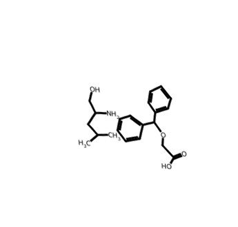 CC(C)CC(N)CO.O=C(O)COC(c1ccccc1)c1ccccc1